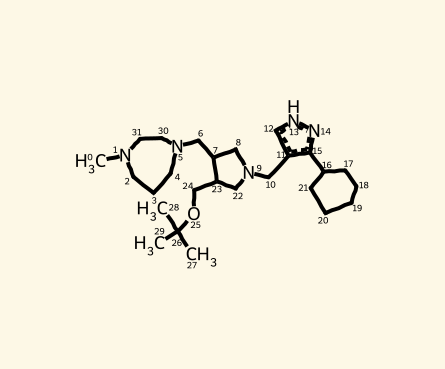 CN1CCCN(CC2CN(Cc3c[nH]nc3C3CCCCC3)CC2COC(C)(C)C)CC1